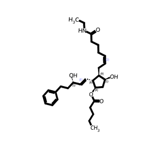 CCCCC(=O)O[C@@H]1C[C@H](O)[C@H](C/C=C\CCCC(=O)NCC)[C@H]1/C=C/[C@@H](O)CCc1ccccc1